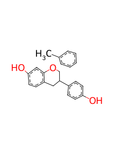 Cc1ccccc1.Oc1ccc(C2COc3cc(O)ccc3C2)cc1